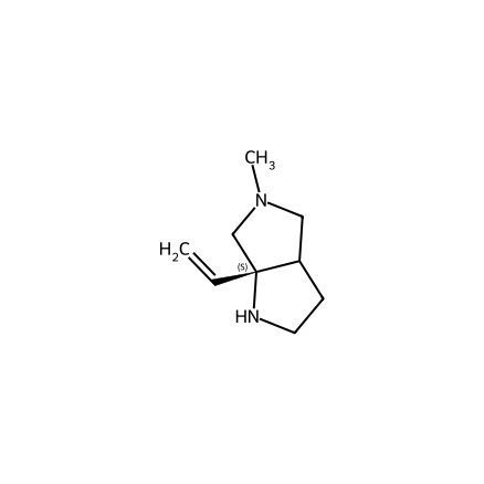 C=C[C@@]12CN(C)CC1CCN2